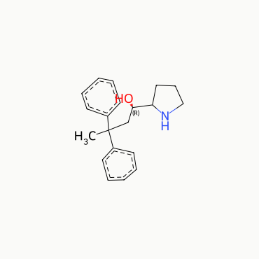 CC(C[C@@H](O)C1CCCN1)(c1ccccc1)c1ccccc1